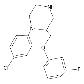 Fc1cccc(OCC2CNCCN2c2ccc(Cl)cc2)c1